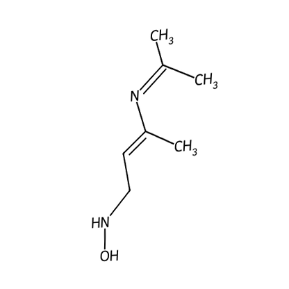 CC(C)=N/C(C)=C/CNO